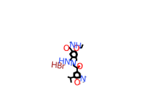 Br.CCOc1cc2c(cc1C(=O)NC)C(=N)N(CC(=O)c1cc(C(C)C)c(OC)c(N(C)C)c1)C2